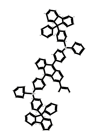 C/C=C(\C)c1ccc2c(-c3ccc(N(c4ccccc4)c4ccc(C5(c6ccccc6)c6ccccc6-c6ccccc65)cc4)cc3)c3ccccc3c(-c3ccc(N(c4ccccc4)c4ccc(C5(c6ccccc6)c6ccccc6-c6ccccc65)cc4)cc3)c2c1